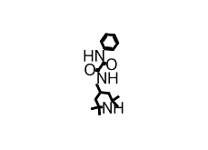 CC1(C)CC(CNC(=O)C(=O)Nc2ccccc2)CC(C)(C)N1